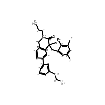 CC1(Cc2cc(F)cc(F)c2F)C(=O)N(CCO)Cc2ccc(-c3cccc(OCC(F)(F)F)c3)cc21